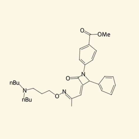 CCCCN(CCCC)CCCON=C(C)C=C1C(=O)N(c2ccc(C(=O)OC)cc2)C1c1ccccc1